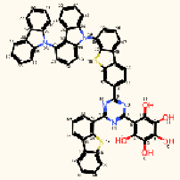 Oc1c(O)c(O)c(-c2nc(-c3ccc4c(c3)sc3c(-n5c6ccccc6c6c(-n7c8ccccc8c8ccccc87)cccc65)cccc34)nc(-c3cccc4c3sc3ccccc34)n2)c(O)c1O